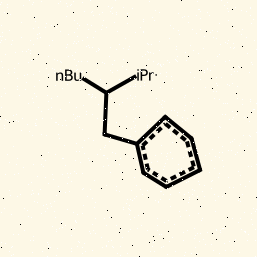 CCCCC(Cc1ccccc1)[C](C)C